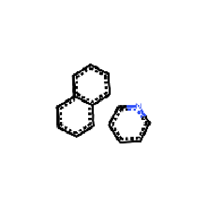 c1ccc2ccccc2c1.c1ccncc1